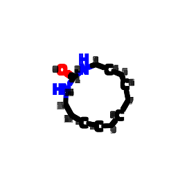 O=C1NCCCCCCCCCCCN1